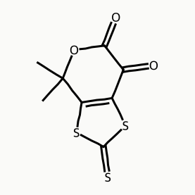 CC1(C)OC(=O)C(=O)c2sc(=S)sc21